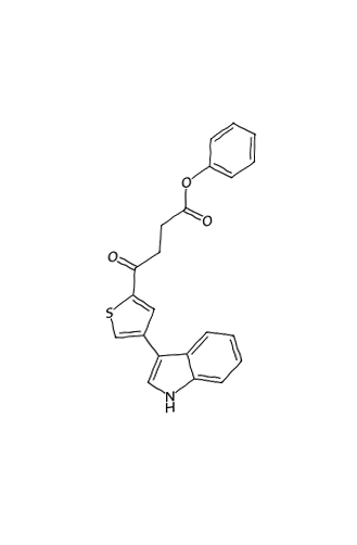 O=C(CCC(=O)c1cc(-c2c[nH]c3ccccc23)cs1)Oc1ccccc1